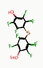 Oc1c(F)c(F)c(Sc2c(F)c(F)c(O)c(F)c2F)c(F)c1F